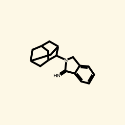 N=C1c2ccccc2CN1C1C2CC3CC(C2)CC1C3